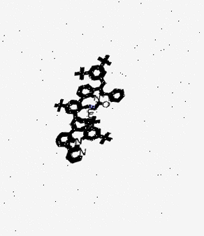 CC(C)(C)c1cc(CC2C3=[N+]4c5c(cccc52)-c2cc(C(C)(C)C)cc5c2/C(=C/C4Oc2ccccc23)CCC2=C=C5C=C(c3cccc4c5cccnc5n(-c5cc(C(C)(C)C)cc(C(C)(C)C)c5)c34)C=C2)cc(C(C)(C)C)c1